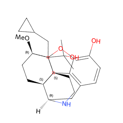 CO[C@]12CC[C@@]3(CC1(CC1CC1)C(C)(C)O)[C@H]1Cc4ccc(O)c5c4[C@@]3(CCN1)C2O5